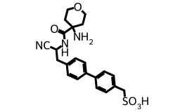 N#CC(Cc1ccc(-c2ccc(CS(=O)(=O)O)cc2)cc1)NC(=O)C1(N)CCOCC1